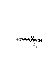 N[C@@H](CO)C(=O)OCCCCCO